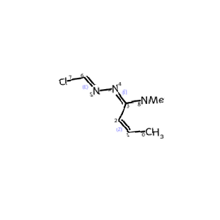 C\C=C/C(=N\N=C\Cl)NC